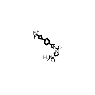 NC(=O)[C@H]1CCN(C(=O)N2CC(c3ccc(C4CC(C(F)(F)F)C4)cc3)C2)C1